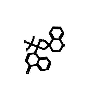 CC1(CC(O)(n2ccc(=O)c3ccccc32)C(F)(F)F)CCOc2ccccc21